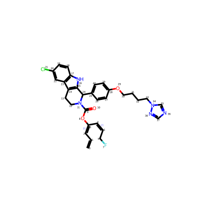 C=C/C=C(\C=C/CF)OC(=O)N1CCc2c([nH]c3ccc(Cl)cc23)C1c1ccc(OCCCCn2cncn2)cc1